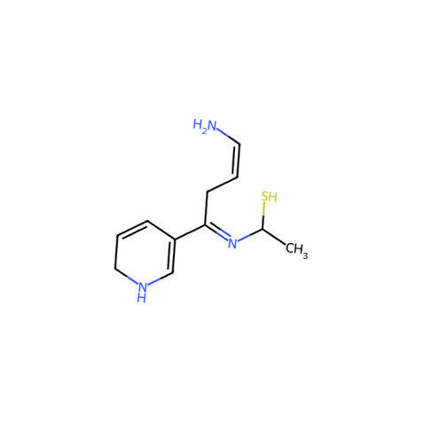 CC(S)/N=C(\C/C=C\N)C1=CNCC=C1